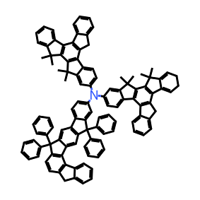 CC1(C)C2=CCCC=C2c2c3c(c4c(c21)C(C)(C)c1cc(N(c2ccc5c(c2)C(C)(C)c2c-5c5c(c6c2C(C)(C)c2ccccc2-6)-c2ccccc2C5)c2ccc5c(c2)C(c2ccccc2)(c2ccccc2)c2cc6c(cc2-5)C(c2ccccc2)(c2ccccc2)c2ccc5c(c2-6)-c2ccccc2C5)ccc1-4)-c1ccccc1C3